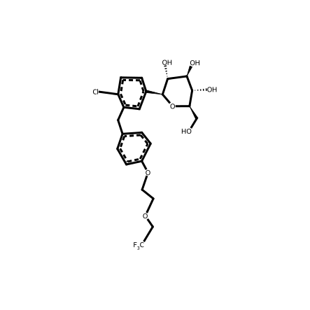 OC[C@H]1O[C@@H](c2ccc(Cl)c(Cc3ccc(OCCOCC(F)(F)F)cc3)c2)[C@H](O)[C@@H](O)[C@@H]1O